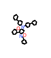 c1ccc(-c2ccc(N(c3ccc(-c4ccccc4)cc3)c3cc4oc(-c5ccccc5)nc4c4c3oc3ccccc34)cc2)cc1